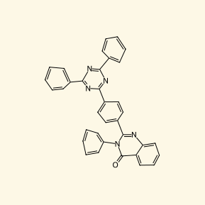 O=c1c2ccccc2nc(-c2ccc(-c3nc(-c4ccccc4)nc(-c4ccccc4)n3)cc2)n1-c1ccccc1